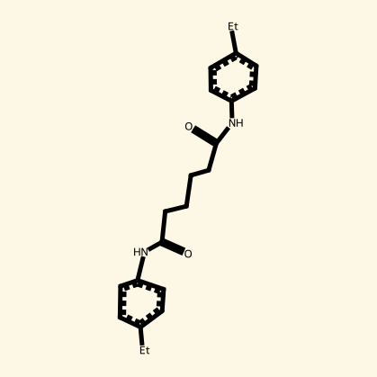 CCc1ccc(NC(=O)CCCCC(=O)Nc2ccc(CC)cc2)cc1